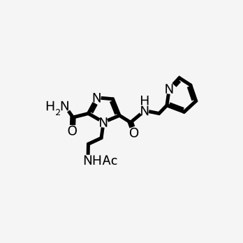 CC(=O)NCCn1c(C(=O)NCc2ccccn2)cnc1C(N)=O